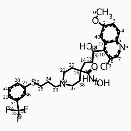 COc1ccc2ncc(Cl)c([C@H](O)CCC3(C(=O)NO)CCN(CCCSc4cccc(C(F)(F)F)c4)CC3)c2c1